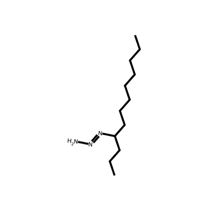 CCCCCCCCC(CCC)N=NN